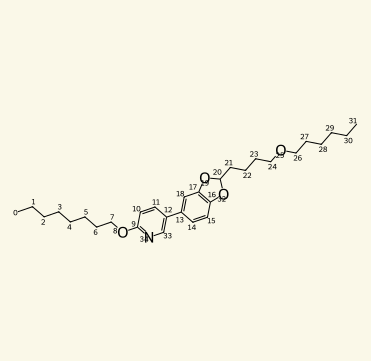 CCCCCCCCOc1ccc(-c2ccc3c(c2)OC(CCCCOCCCCCC)O3)cn1